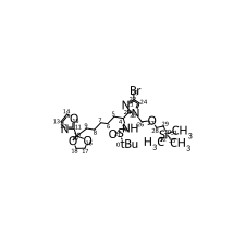 CC(C)(C)[S@@+]([O-])NC(CCCCCC1(c2ncco2)OCCO1)c1nc(Br)cn1COCC[Si](C)(C)C